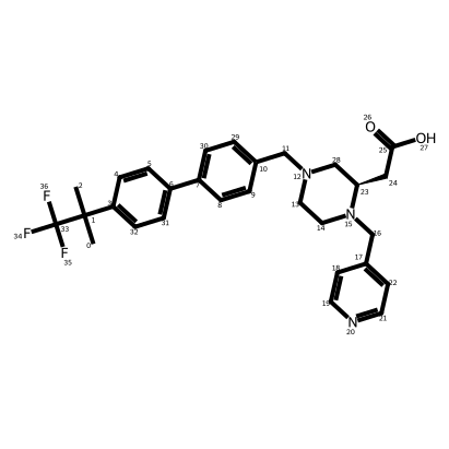 CC(C)(c1ccc(-c2ccc(CN3CCN(Cc4ccncc4)[C@H](CC(=O)O)C3)cc2)cc1)C(F)(F)F